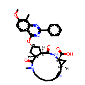 COc1ccc2c(O[C@@H]3C[C@H]4C(=O)N[C@]5(C(=O)O)C[C@H]5/C=C\CCCCN(C)C(=O)[C@@H]4C3)nc(-c3ccccc3)nc2c1C